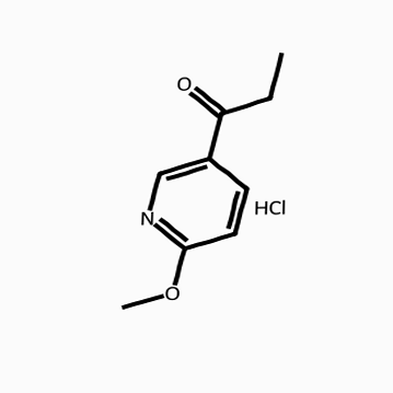 CCC(=O)c1ccc(OC)nc1.Cl